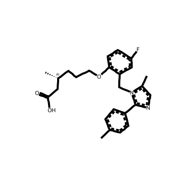 Cc1ccc(-c2ncc(C)n2Cc2cc(F)ccc2OCCC[C@@H](C)CC(=O)O)cc1